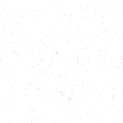 COc1ncc(CN2CCOc3c(Cl)cc(N4CCc5cc(Cl)ccc54)cc3C2)cn1